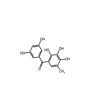 Cc1cc(C(=O)c2cc(O)cc(O)c2)c(O)c(O)c1O